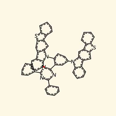 c1ccc(-c2nc(-c3ccccc3)nc(-c3cc(-n4c5ccccc5c5cc6sc7ccccc7c6cc54)ccc3-n3c4ccccc4c4cc5sc6ccccc6c5cc43)n2)cc1